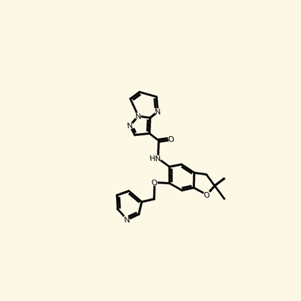 CC1(C)Cc2cc(NC(=O)c3cnn4cccnc34)c(OCc3cccnc3)cc2O1